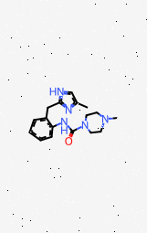 Cc1c[nH]c(Cc2ccccc2NC(=O)N2CCN(C)CC2)n1